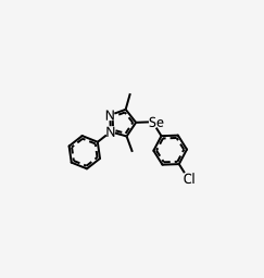 Cc1nn(-c2ccccc2)c(C)c1[Se]c1ccc(Cl)cc1